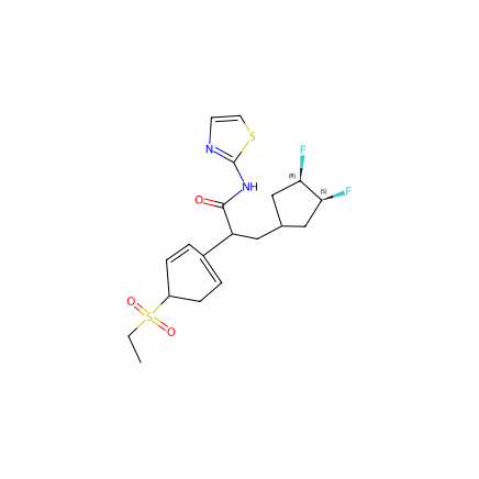 CCS(=O)(=O)C1C=CC(C(CC2C[C@@H](F)[C@@H](F)C2)C(=O)Nc2nccs2)=CC1